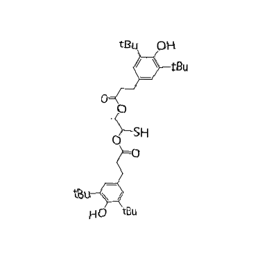 CC(C)(C)c1cc(CCC(=O)O[CH]C(S)OC(=O)CCc2cc(C(C)(C)C)c(O)c(C(C)(C)C)c2)cc(C(C)(C)C)c1O